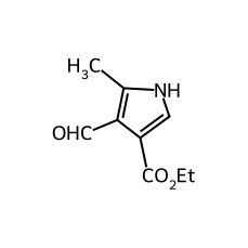 CCOC(=O)c1c[nH]c(C)c1C=O